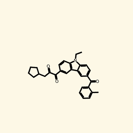 CCn1c2ccc(C(=O)C(=O)CC3CCCC3)cc2c2cc(C(=O)c3ccccc3C)ccc21